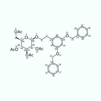 CC(=O)OC[C@H]1O[C@@H](OCCc2cc(OCc3ccccc3)cc(OCc3ccccc3)c2)[C@H](OC(C)=O)[C@@H](OC(C)=O)[C@@H]1OC(C)=O